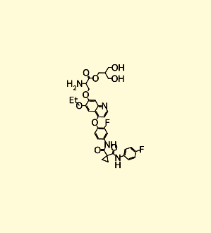 CCOc1cc2c(Oc3ccc(NC(=O)C4(C(=O)Nc5ccc(F)cc5)CC4)cc3F)ccnc2cc1OCC(N)C(=O)OCC(CO)CO